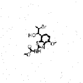 COC(=O)Nc1nc2c(OC)ccc(C(O)C(C)Br)c2s1